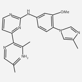 C=C(C)/C=N\C(=C(\C)N)c1ccnc(Nc2ccc(-n3cnc(C)c3)c(OC)c2)n1